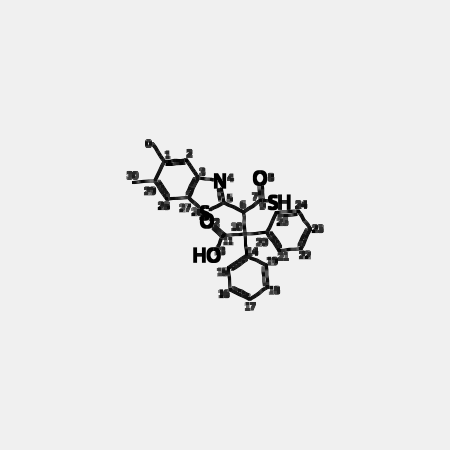 Cc1cc2nc(C(C(=O)S)C(C(=O)O)(c3ccccc3)c3ccccc3)sc2cc1C